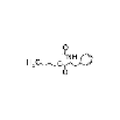 CCCCOC(=O)[C@H](Cc1ccccc1)N[C]=O